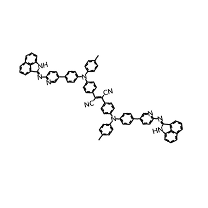 Cc1ccc(N(c2ccc(/C(C#N)=C(\C#N)c3ccc(N(c4ccc(C)cc4)c4ccc(-c5ccc(/N=C6\Nc7cccc8cccc6c78)nc5)cc4)cc3)cc2)c2ccc(-c3ccc(/N=C4\Nc5cccc6cccc4c56)nc3)cc2)cc1